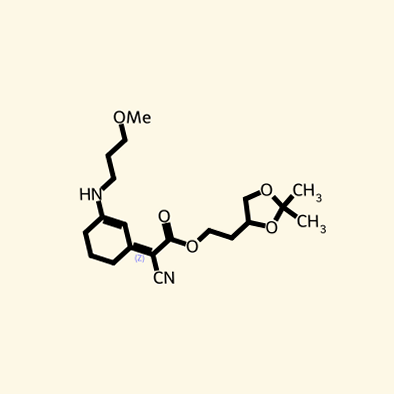 COCCCNC1=C/C(=C(/C#N)C(=O)OCCC2COC(C)(C)O2)CCC1